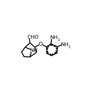 Nc1cccc(OC2CC3CCC(N3)C2C=O)c1N